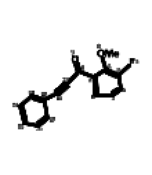 COc1c(F)cccc1C(=O)C#Cc1ccccc1